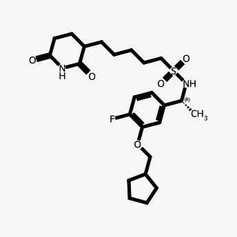 C[C@@H](NS(=O)(=O)CCCCCC1CCC(=O)NC1=O)c1ccc(F)c(OCC2CCCC2)c1